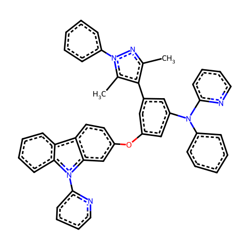 Cc1nn(-c2ccccc2)c(C)c1-c1cc(Oc2ccc3c4ccccc4n(-c4ccccn4)c3c2)cc(N(c2ccccc2)c2ccccn2)c1